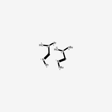 CC(C)N=CN(O)C(C)C.CCCCN=CN(O)CCCC